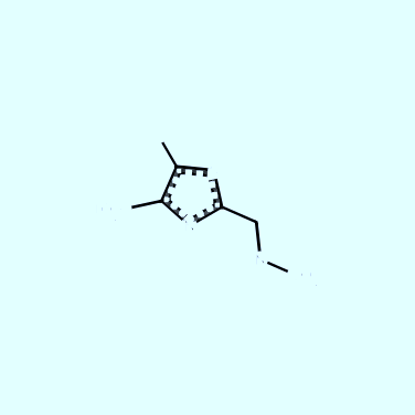 CCOC(=O)c1nc(CNC(=O)O)sc1CC